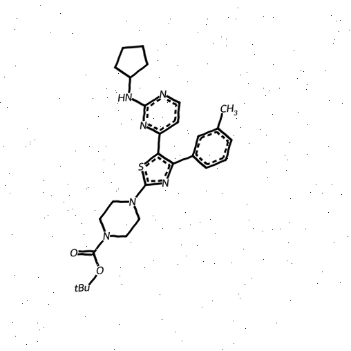 Cc1cccc(-c2nc(N3CCN(C(=O)OC(C)(C)C)CC3)sc2-c2ccnc(NC3CCCC3)n2)c1